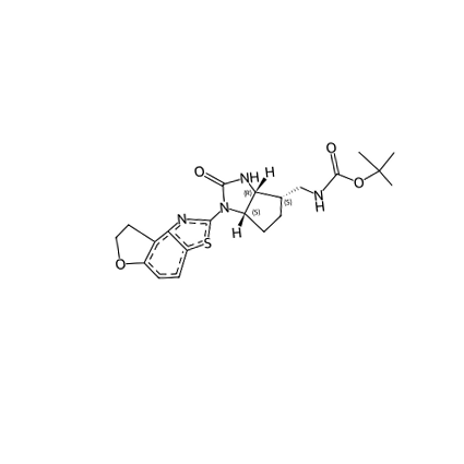 CC(C)(C)OC(=O)NC[C@@H]1CC[C@H]2[C@@H]1NC(=O)N2c1nc2c3c(ccc2s1)OCC3